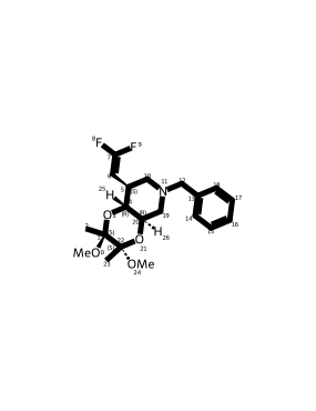 CO[C@@]1(C)O[C@@H]2[C@@H](C=C(F)F)CN(Cc3ccccc3)C[C@H]2O[C@]1(C)OC